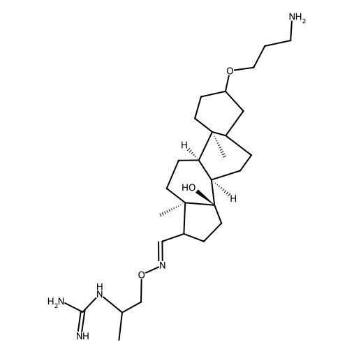 CC(CO/N=C/C1CC[C@@]2(O)[C@@H]3CCC4CC(OCCCN)CC[C@]4(C)[C@@H]3CC[C@]12C)NC(=N)N